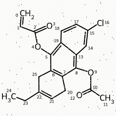 C=CC(=O)Oc1c2c(c(OC(C)=O)c3cc(Cl)ccc13)CC=C(CC)C2